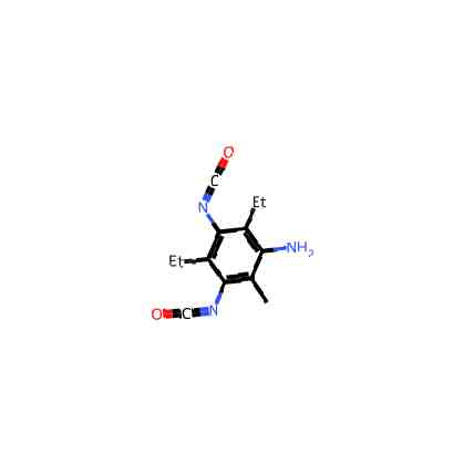 CCc1c(N)c(C)c(N=C=O)c(CC)c1N=C=O